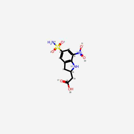 NS(=O)(=O)c1cc2c(c([N+](=O)[O-])c1)NC(CC(=O)O)C2